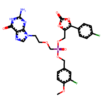 COc1ccc(COP(=O)(COCCn2cnc3c(=O)[nH]c(N)nc32)OCc2oc(=O)oc2-c2ccc(F)cc2)cc1F